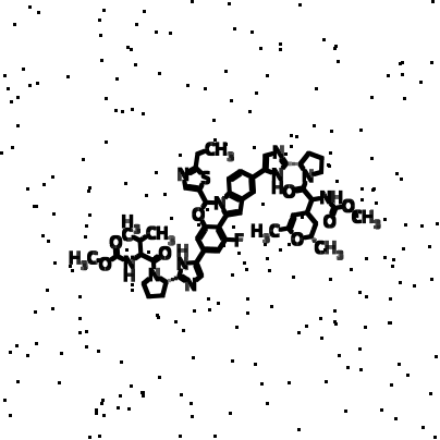 CCc1ncc(C2Oc3cc(-c4cnc([C@@H]5CCCN5C(=O)C(NC(=O)OC)C(C)C)[nH]4)cc(F)c3-c3cc4cc(-c5cnc([C@@H]6CCCN6C(=O)C(NC(=O)OC)C6C=C(C)O[C@@H](C)C6)[nH]5)ccc4n32)s1